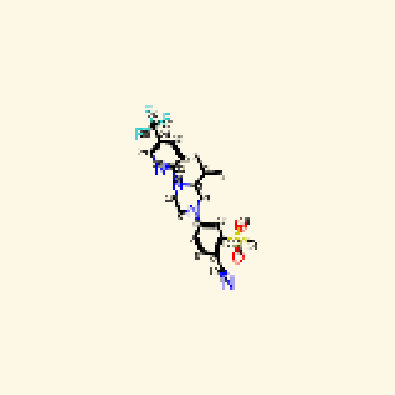 CC(C)C1CN(c2ccc(C#N)c(S(C)(=O)=O)c2)CCN1c1ccc(C(F)(F)F)cn1